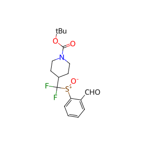 CC(C)(C)OC(=O)N1CCC(C(F)(F)[S+]([O-])c2ccccc2C=O)CC1